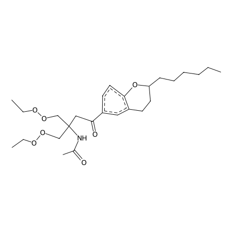 CCCCCCC1CCc2cc(C(=O)CC(COOCC)(COOCC)NC(C)=O)ccc2O1